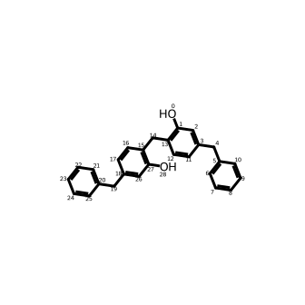 Oc1cc(Cc2ccccc2)ccc1Cc1ccc(Cc2ccccc2)cc1O